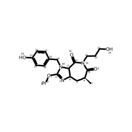 CC(C)OC1=NC2C[C@H](C)C(=O)N(CCCO)C(=O)C2N1Cc1ccc(O)cc1